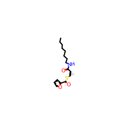 CCCCCCCCNC(=O)/C=C\SC(=O)c1ccco1